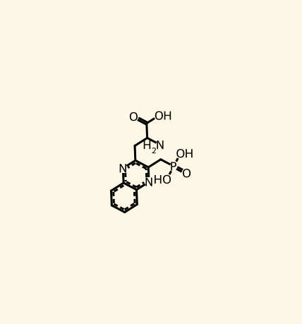 NC(Cc1nc2ccccc2nc1CP(=O)(O)O)C(=O)O